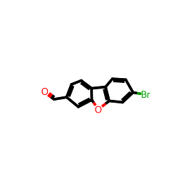 O=Cc1ccc2c(c1)oc1cc(Br)ccc12